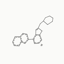 [CH]1C(CC2CCCCC2)=Cc2c1cccc2-c1ccc2ccccc2c1.[Zr]